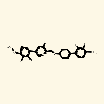 CCCCOc1ccc(-c2ccc(COC3CC=C(c4ccc(C)c(F)c4F)CC3)c(F)c2)c(F)c1F